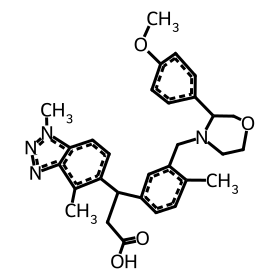 COc1ccc(C2COCCN2Cc2cc(C(CC(=O)O)c3ccc4c(nnn4C)c3C)ccc2C)cc1